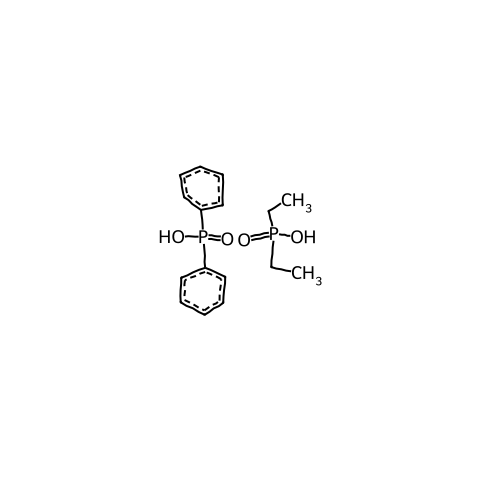 CCP(=O)(O)CC.O=P(O)(c1ccccc1)c1ccccc1